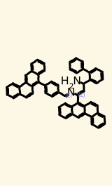 NC(/C=C(\N=C\c1ccc(-c2c3ccccc3cc3c2ccc2ccccc23)cc1)c1c2ccccc2cc2c1ccc1ccccc12)c1ccccc1-c1ccccc1